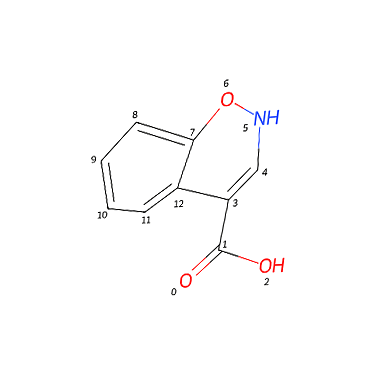 O=C(O)C1=CNOc2ccccc21